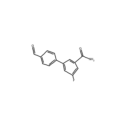 NC(=O)c1cc(F)cc(-c2ccc(C=O)cc2)c1